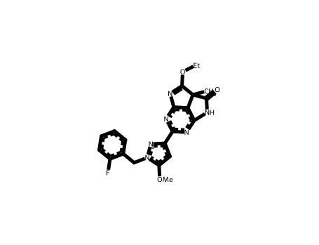 CCOC1=Nc2nc(-c3cc(OC)n(Cc4ccccc4F)n3)nc3c2C1(C)C(=O)N3